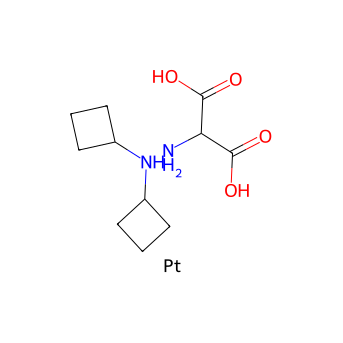 C1CC(NC2CCC2)C1.NC(C(=O)O)C(=O)O.[Pt]